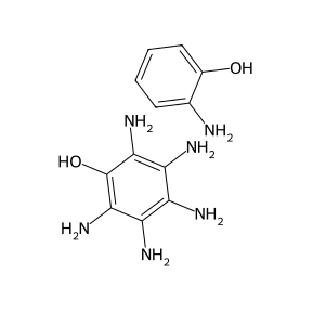 Nc1c(N)c(N)c(O)c(N)c1N.Nc1ccccc1O